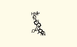 COCOc1c(-c2ccc3nc(N4CCC(NC(C)(C)C)C4)ccc3n2)cc2cn(C)nc2c1C